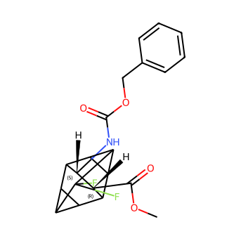 COC(=O)[C@@H]1C2C3C4C(C5C2C5C(F)(F)C34)[C@@H]1NC(=O)OCc1ccccc1